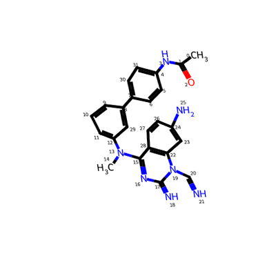 CC(=O)Nc1ccc(-c2cccc(N(C)c3nc(=N)n(C=N)c4cc(N)ccc34)c2)cc1